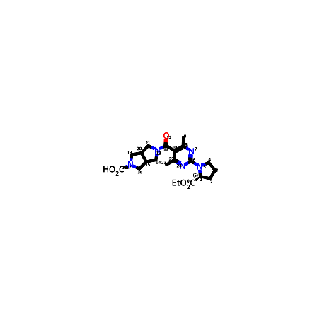 CCOC(=O)[C@@H]1CCCN1c1nc(C)c(C(=O)N2CC3CN(C(=O)O)CC3C2)c(C)n1